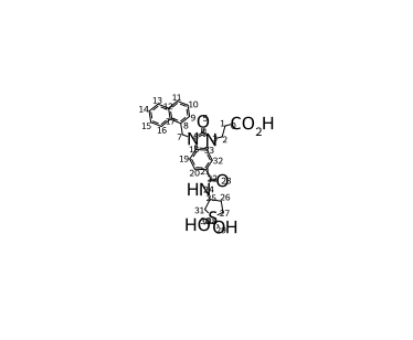 O=C(O)CCn1c(=O)n(Cc2cccc3ccccc23)c2ccc(C(=O)NC3CCS(O)(O)C3)cc21